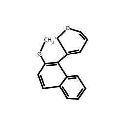 COc1ccc2ccccc2c1C1=CC=CO[C]1